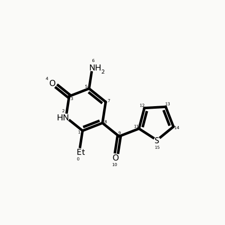 CCc1[nH]c(=O)c(N)cc1C(=O)c1cccs1